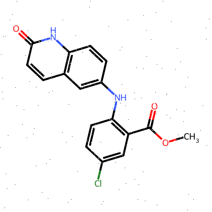 COC(=O)c1cc(Cl)ccc1Nc1ccc2[nH]c(=O)ccc2c1